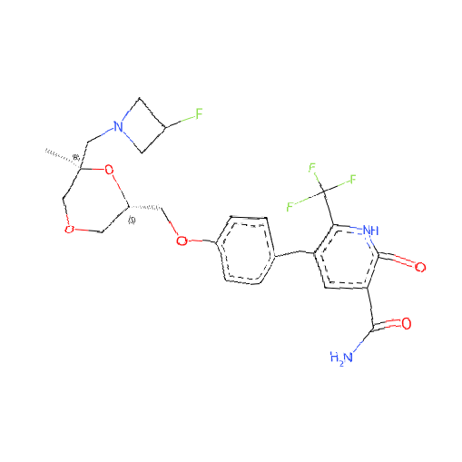 C[C@@]1(CN2CC(F)C2)COC[C@@H](COc2ccc(-c3cc(C(N)=O)c(=O)[nH]c3C(F)(F)F)cc2)O1